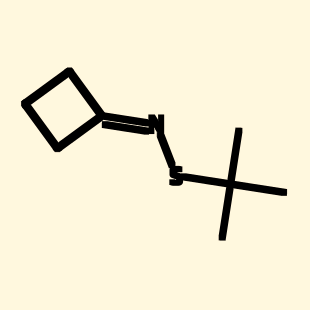 CC(C)(C)SN=C1CCC1